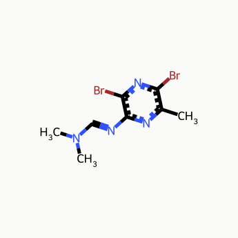 Cc1nc(N=CN(C)C)c(Br)nc1Br